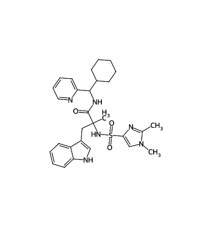 Cc1nc(S(=O)(=O)NC(C)(Cc2c[nH]c3ccccc23)C(=O)NC(c2ccccn2)C2CCCCC2)cn1C